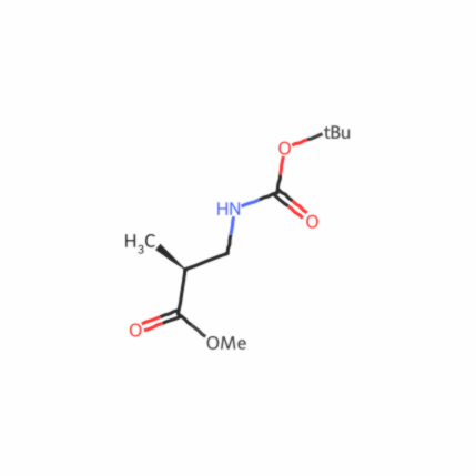 COC(=O)[C@@H](C)CNC(=O)OC(C)(C)C